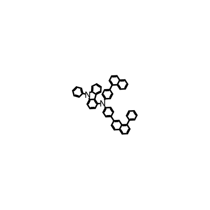 c1ccc(-c2cccc3ccc(-c4ccc(N(c5ccc(-c6cccc7ccccc67)cc5)c5cccc6c5c5ccccc5n6-c5ccccc5)cc4)cc23)cc1